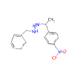 CC(NNCc1ccccc1)c1ccc([N+](=O)[O-])cc1